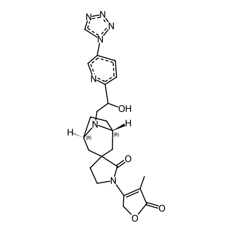 CC1=C(N2CCC3(C[C@H]4CC[C@H](C3)N4CC(O)c3ccc(-n4cnnn4)cn3)C2=O)COC1=O